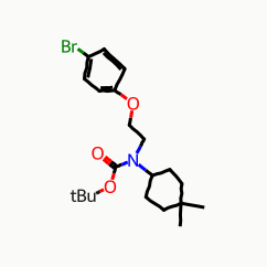 CC1(C)CCC(N(CCOc2ccc(Br)cc2)C(=O)OC(C)(C)C)CC1